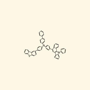 c1ccc(-c2ccc(N(c3ccc(-c4ccc5sc6ccccc6c5c4)cc3)c3ccc(-c4cc5c6ccccc6n(-c6ccccc6)c5c5ccccc45)cc3)cc2)cc1